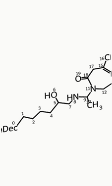 CCCCCCCCCCCCCCC(O)CNC(C)N1CCN=C(C)CC1=O